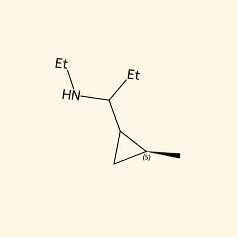 CCNC(CC)C1C[C@@H]1C